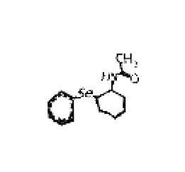 CC(=O)NC1CCCCC1[Se]c1ccccc1